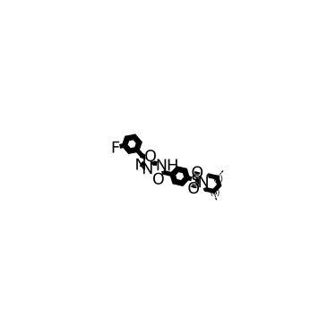 C[C@@H]1C[C@H](C)CN(S(=O)(=O)c2ccc(C(=O)Nc3nnc(-c4cccc(F)c4)o3)cc2)C1